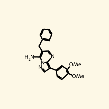 COc1ccc(-c2cnn3c(N)c(Cc4ccccc4)cnc23)cc1OC